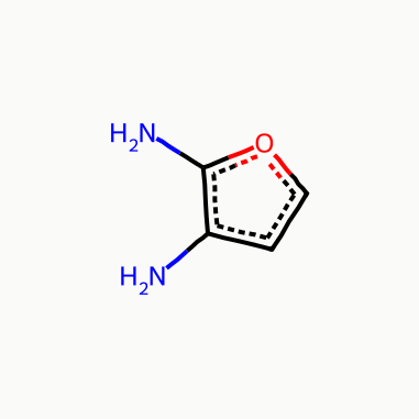 Nc1ccoc1N